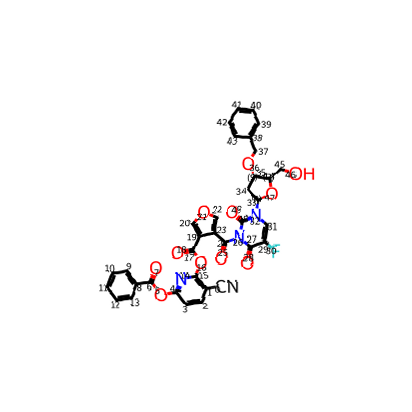 N#Cc1ccc(OC(=O)c2ccccc2)nc1OC(=O)c1cocc1C(=O)n1c(=O)c(F)cn([C@H]2C[C@H](OCc3ccccc3)[C@@H](CO)O2)c1=O